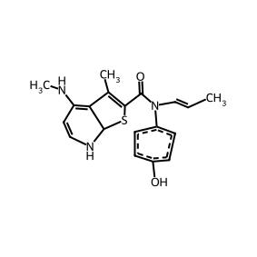 CC=CN(C(=O)C1=C(C)C2=C(NC)C=CNC2S1)c1ccc(O)cc1